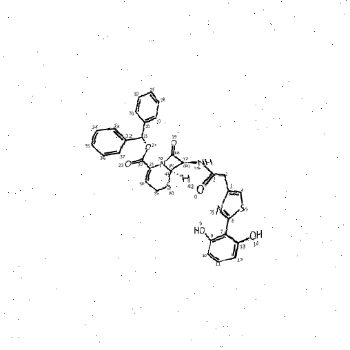 O=C(Cc1csc(-c2c(O)cccc2O)n1)N[C@@H]1C(=O)N2C(C(=O)OC(c3ccccc3)c3ccccc3)=CCS[C@H]12